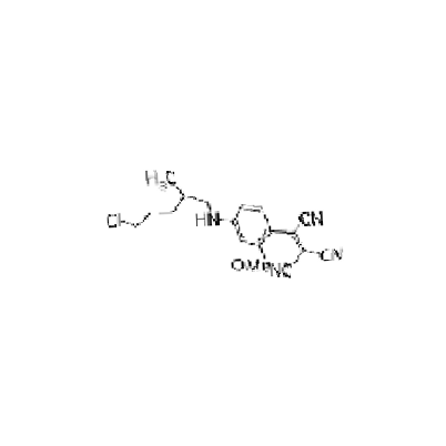 COc1cc(NCC(C)CCCCl)ccc1C(C#N)=C(C#N)C#N